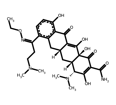 CCO/N=C(/CCN(C)C)c1ccc(O)c2c1C[C@H]1C[C@H]3[C@@H](N(C)C)C(O)=C(C(N)=O)C(=O)[C@@]3(O)C(O)=C1C2=O